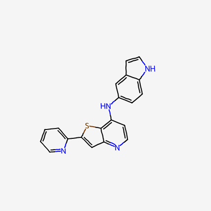 c1ccc(-c2cc3nccc(Nc4ccc5[nH]ccc5c4)c3s2)nc1